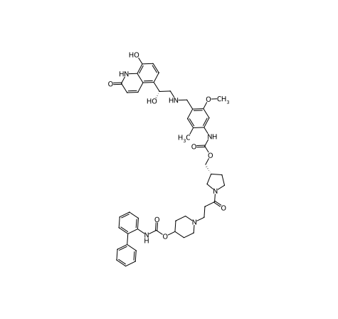 COc1cc(NC(=O)OC[C@@H]2CCN(C(=O)CCN3CCC(OC(=O)Nc4ccccc4-c4ccccc4)CC3)C2)c(C)cc1CNC[C@H](O)c1ccc(O)c2[nH]c(=O)ccc12